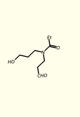 CCC(=O)N(CCC=O)CCCO